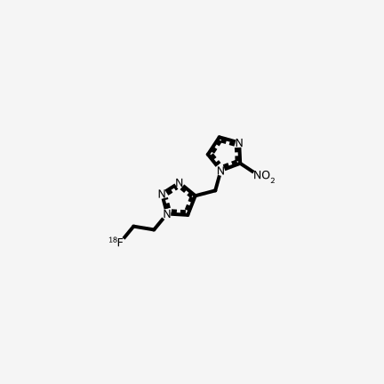 O=[N+]([O-])c1nccn1Cc1cn(CC[18F])nn1